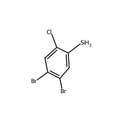 [SiH3]c1cc(Br)c(Br)cc1Cl